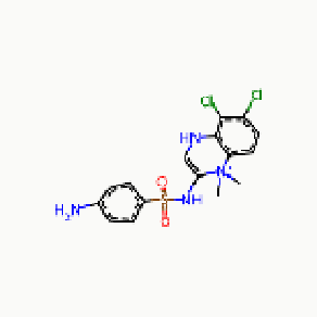 C[N+]1(C)C(NS(=O)(=O)c2ccc(N)cc2)=CNc2c1ccc(Cl)c2Cl